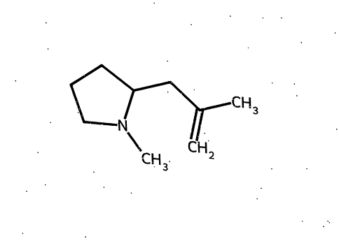 C=C(C)CC1CCCN1C